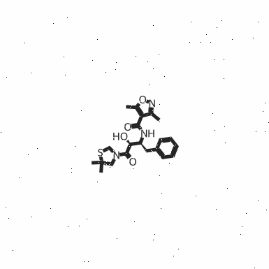 Cc1noc(C)c1C(=O)N[C@@H](Cc1ccccc1)[C@H](O)C(=O)N1CSC(C)(C)C1